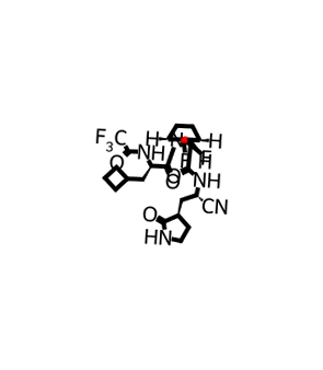 N#C[C@H](C[C@H]1CCNC1=O)NC(=O)[C@H]1[C@H]2CC[C@H](CC2(F)F)N1C(=O)[C@@H](CC1CCC1)NC(=O)C(F)(F)F